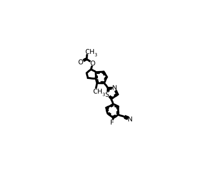 CC(=O)OC1CCc2c1ccc(-c1ncc(-c3ccc(F)c(C#N)c3)s1)c2C